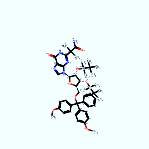 COc1ccc(C(OC[C@H]2O[C@@H](n3cnc4c(=O)[nH]c(C(C)(C)C(N)=O)nc43)[C@H](O[Si](C)(C)C(C)(C)C)[C@@H]2O[Si](C)(C)C(C)(C)C)(c2ccccc2)c2ccc(OC)cc2)cc1